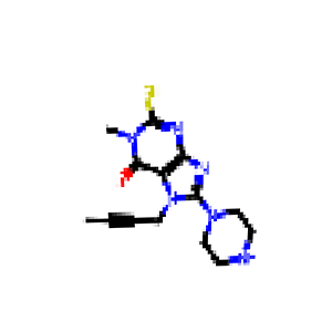 CC#CCn1c(N2CCNCC2)nc2nc(S)n(C)c(=O)c21